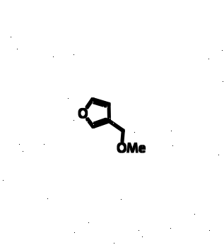 COCc1ccoc1